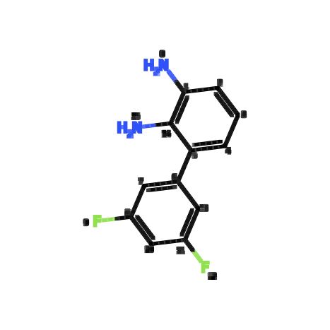 Nc1cccc(-c2cc(F)cc(F)c2)c1N